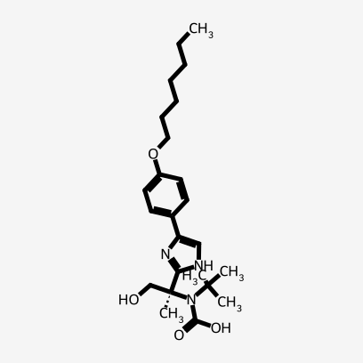 CCCCCCCOc1ccc(-c2c[nH]c([C@](C)(CO)N(C(=O)O)C(C)(C)C)n2)cc1